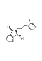 Cc1ncccc1CCCN1C(=O)c2ccccc2C1=O.I